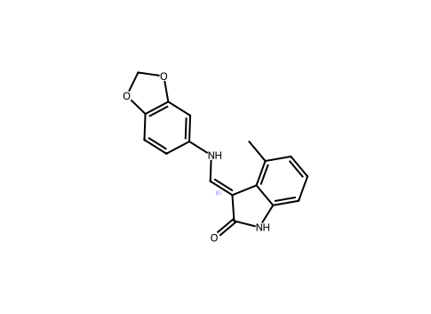 Cc1cccc2c1/C(=C\Nc1ccc3c(c1)OCO3)C(=O)N2